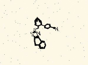 N#Cc1ccc(-c2ccccc2CSc2nc3c(s2)CCc2[c]cccc2-3)cc1